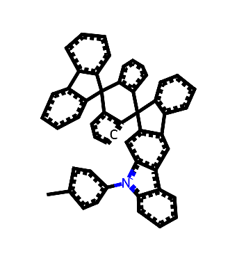 Cc1ccc(-n2c3ccccc3c3cc4c(cc32)C2(c3ccccc3-4)c3ccccc3C3(c4ccccc4-c4ccccc43)c3ccccc32)cc1